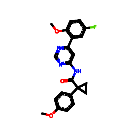 COc1ccc(C2(C(=O)Nc3cc(-c4cc(F)ccc4OC)ncn3)CC2)cc1